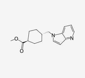 COC(=O)[C@H]1CC[C@H](Cn2ccc3ncccc32)CC1